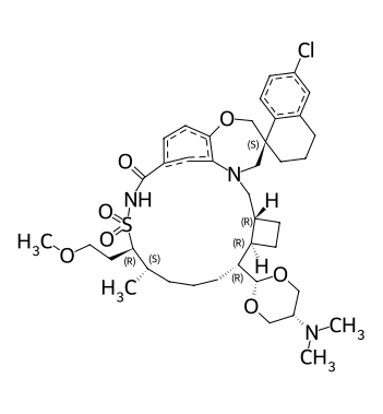 COCC[C@@H]1[C@@H](C)CCC[C@@H]([C@H]2OC[C@@H](N(C)C)CO2)[C@@H]2CC[C@H]2CN2C[C@@]3(CCCc4cc(Cl)ccc43)COc3ccc(cc32)C(=O)NS1(=O)=O